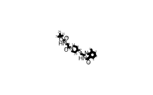 Cc1cccc2c(=O)[nH]c(CSC3CCN(C(=O)CNC(=O)OC(C)(C)C)CC3)nc12